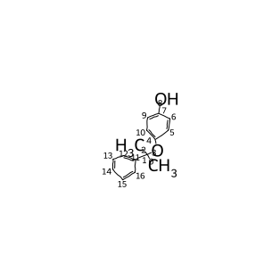 CC(C)(Oc1ccc(O)cc1)c1ccccc1